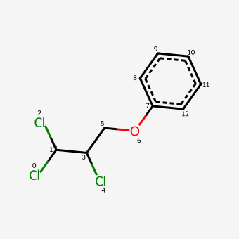 Cl[C](Cl)C(Cl)COc1ccccc1